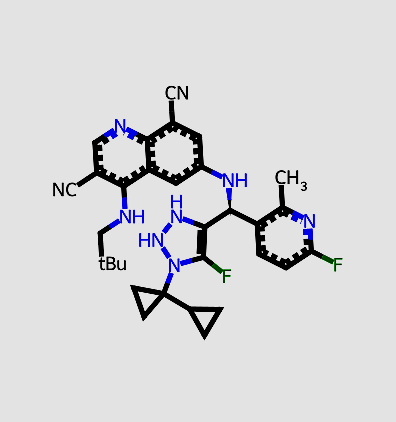 Cc1nc(F)ccc1[C@H](Nc1cc(C#N)c2ncc(C#N)c(NCC(C)(C)C)c2c1)C1=C(F)N(C2(C3CC3)CC2)NN1